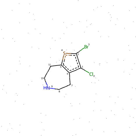 Clc1c(Br)sc2c1CCNCC2